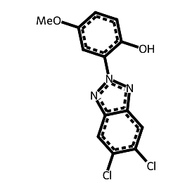 COc1ccc(O)c(-n2nc3cc(Cl)c(Cl)cc3n2)c1